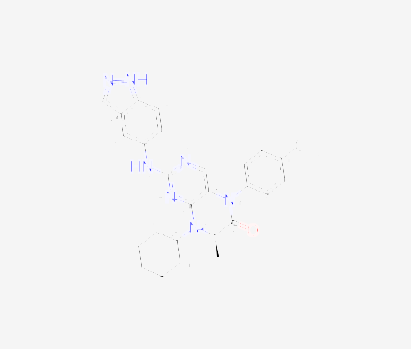 C[C@@H]1C(=O)N(c2ccc(C(F)(F)F)cc2)c2cnc(Nc3ccc4[nH]ncc4c3)nc2N1C1CCCCC1